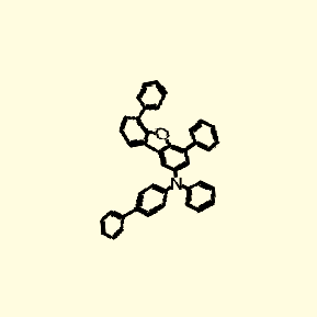 c1ccc(-c2ccc(N(c3ccccc3)c3cc(-c4ccccc4)c4oc5c(-c6ccccc6)cccc5c4c3)cc2)cc1